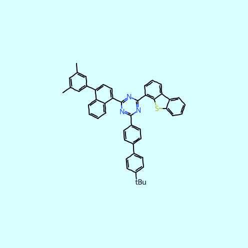 Cc1cc(C)cc(-c2ccc(-c3nc(-c4ccc(-c5ccc(C(C)(C)C)cc5)cc4)nc(-c4cccc5c4sc4ccccc45)n3)c3ccccc23)c1